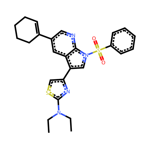 CCN(CC)c1nc(-c2cn(S(=O)(=O)c3ccccc3)c3ncc(C4=CCCCC4)cc23)cs1